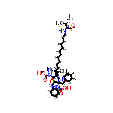 CC(C)C(C=O)NCCCCCCCCCCCCCC[C@@H](Cc1ccccc1)C(Cc1ccccc1)(NC(=O)O)N[C@H](C(=O)NC(=O)O)C(C)C